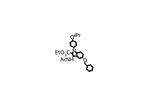 CCOC(=O)c1c(NC(C)=O)c2cc(OCc3ccccc3)ccc2n1-c1ccc(OC(C)C)cc1